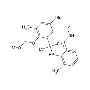 CCC(C)(Pc1c(C)cccc1CNC(C)C)c1cc(C(C)(C)C)cc(C)c1OCOC